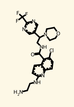 NCCNc1ccc2c(C(=O)NCC(c3cnc(C(F)(F)F)nc3)N3CCOCC3)c(Cl)ccc2n1